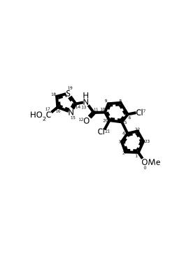 COc1ccc(-c2c(Cl)ccc(C(=O)Nc3nc(C(=O)O)cs3)c2Cl)cc1